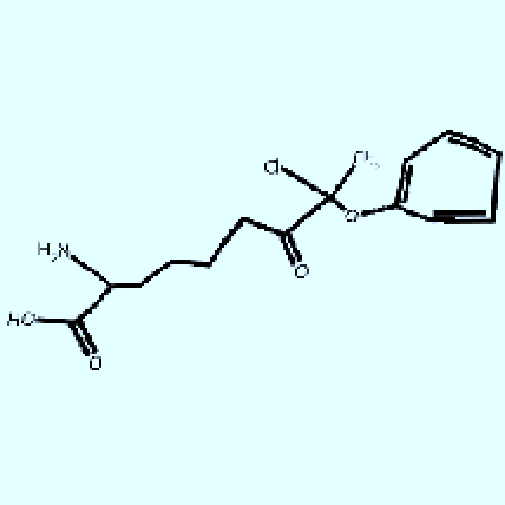 CC(Cl)(Oc1ccccc1)C(=O)CCCCC(N)C(=O)O